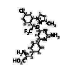 Cc1ccn(-c2cc(Cl)ccc2C(Oc2cc(-c3ccc(CC(N)C(=O)O)cc3)nc(N)n2)C(F)(F)F)n1